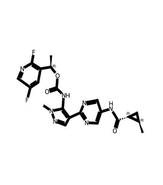 C[C@@H]1C[C@H]1C(=O)Nc1cnc(-c2cnn(C)c2NC(=O)O[C@H](C)c2cc(F)cnc2F)nc1